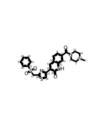 CN1CCN(C(=O)c2ccc3cc(-c4csc(CS(=O)(=O)c5ccccc5)n4)c(=O)[nH]c3c2)CC1